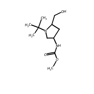 COC(=O)NC1CC(CO)N(C(C)(C)C)C1